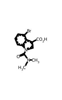 CN(C)C(=O)n1cc(C(=O)O)c2c(Br)cccc21